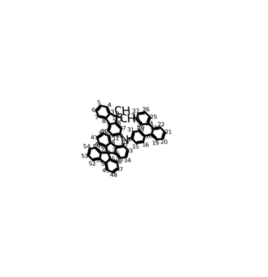 CC1(C)c2ccccc2-c2ccc(N(c3ccc(-c4ccccc4-c4ccccc4)cc3)c3cccc4c3-c3ccccc3C43c4ccccc4-c4ccccc43)cc21